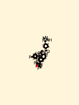 O=C([C@H]1CC[C@H](c2nnn[nH]2)CC1)N1CC[C@@]2(S(=O)(=O)c3ccc(F)cc3)c3ccc(C(F)(C(F)(F)F)C(F)(F)F)cc3CC[C@@H]12